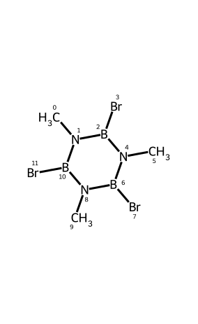 CN1B(Br)N(C)B(Br)N(C)B1Br